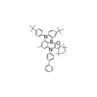 Cc1cc2c3c(c1)N(c1ccc(-c4ccccc4)cc1)c1c(oc4c1C(C)(C)CCC4(C)C)B3c1cc(C(C)(C)C)ccc1N2c1ccc(C(C)(C)C)cc1